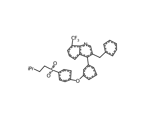 CC(C)CCS(=O)(=O)c1ccc(Oc2cccc(-c3c(Cc4ccccc4)cnc4c(C(F)(F)F)cccc34)c2)cc1